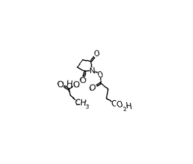 CCC(=O)O.O=C(O)CCC(=O)ON1C(=O)CCC1=O